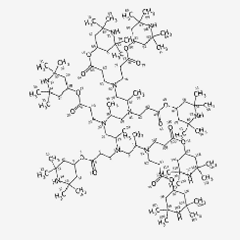 CC(CN(CCC(=O)OC1CC(C)(C)NC(C)(C)C1)C(C)CN(CCC(=O)OC1CC(C)(C)NC(C)(C)C1)C(C)CN(CCC(=O)OC1CC(C)(C)NC(C)(C)C1)C(C)CN(CCC(=O)OC1CC(C)(C)NC(C)(C)C1)CCC(=O)OC1CC(C)(C)NC(C)(C)C1)N(CCC(=O)OC1CC(C)(C)NC(C)(C)C1)CCC(=O)OC1CC(C)(C)NC(C)(C)C1